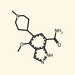 COc1c(C2CCN(C)CC2)cc(C(N)=O)c2[nH]ncc12